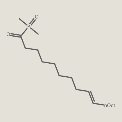 CCCCCCCCC=CCCCCCCCC(=O)P(C)(C)=O